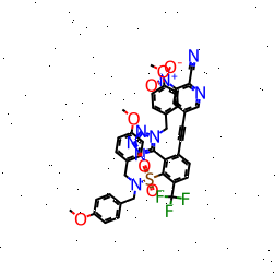 COc1ccc(CN(Cc2ccc(OC)cc2)S(=O)(=O)c2c(C(F)(F)F)ccc(C#Cc3cnc(C#N)c([N+](=O)[O-])c3)c2-c2nnnn2Cc2ccc(OC)cc2)cc1